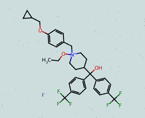 CCO[N+]1(Cc2ccc(OCC3CC3)cc2)CCC(C(O)(c2ccc(C(F)(F)F)cc2)c2ccc(C(F)(F)F)cc2)CC1.[I-]